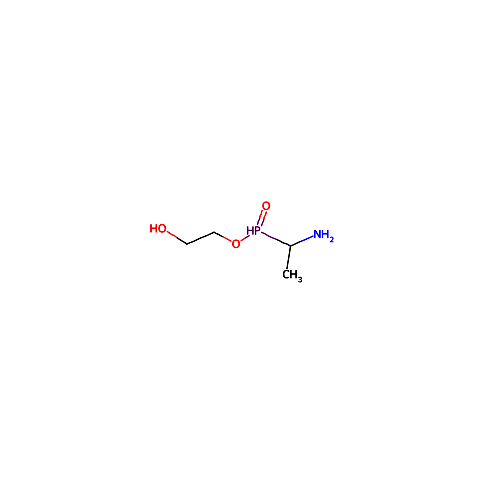 CC(N)[PH](=O)OCCO